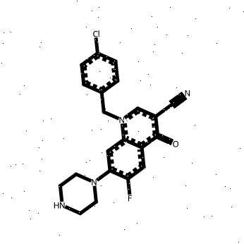 N#Cc1cn(Cc2ccc(Cl)cc2)c2cc(N3CCNCC3)c(F)cc2c1=O